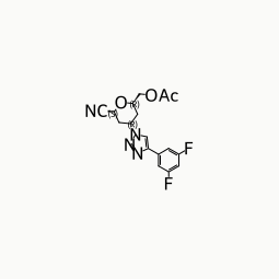 CC(=O)OC[C@H]1C[C@H](n2cc(-c3cc(F)cc(F)c3)nn2)C[C@@H](C#N)O1